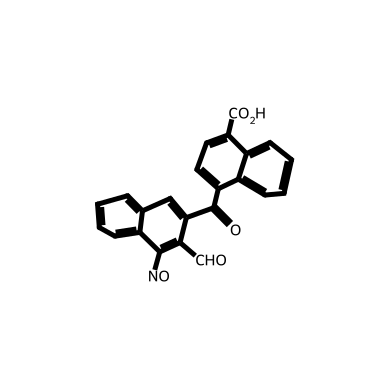 O=Cc1c(C(=O)c2ccc(C(=O)O)c3ccccc23)cc2ccccc2c1N=O